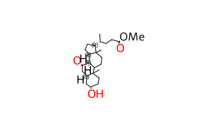 COC(=O)CCC(C)[C@H]1CC[C@H]2[C@@H]3C(=O)C[C@@H]4CC(O)CCC4(C)C3CCC12C